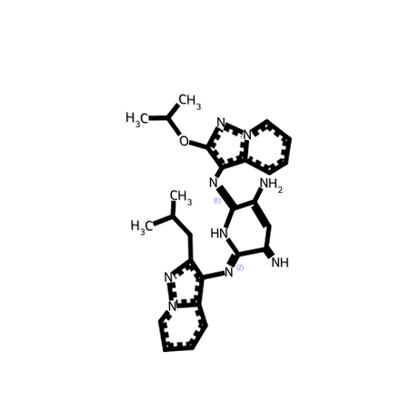 CC(C)Cc1nn2ccccc2c1/N=C1\N/C(=N/c2c(OC(C)C)nn3ccccc23)C(N)=CC1=N